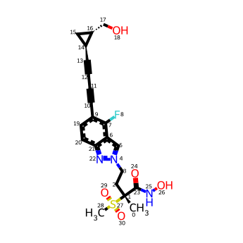 C[C@@](CCn1cc2c(F)c(C#CC#C[C@H]3C[C@@H]3CO)ccc2n1)(C(=O)NO)S(C)(=O)=O